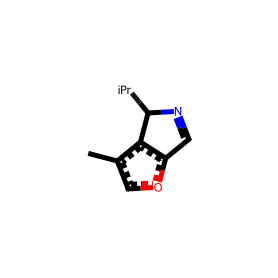 Cc1coc2c1C(C(C)C)N=C2